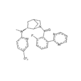 CN(c1ccc(C(F)(F)F)cn1)[C@H]1CC2CC1N(C(=O)c1c(F)cccc1-c1ncccn1)C2